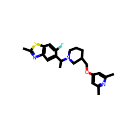 Cc1cc(OCC2CCCN(C(C)c3cc4nc(C)sc4cc3F)C2)cc(C)n1